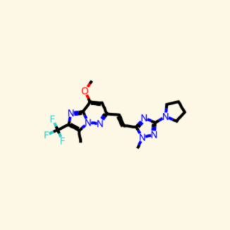 COc1cc(C=Cc2nc(N3CCCC3)nn2C)nn2c(C)c(C(F)(F)F)nc12